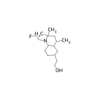 CC1CC(C)(C)N(CCF)C2CCC(CCO)CC12